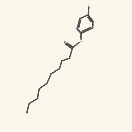 CCCCCCCCCC(=S)Oc1ccc(I)cc1